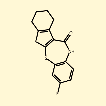 O=C1Nc2ccc(F)cc2Sc2sc3c(c21)CCCC3